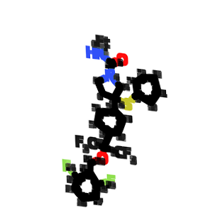 CCNC(=O)N1CCC(Sc2ccccc2)(c2ccc(C(OCc3c(F)cccc3F)(C(F)(F)F)C(F)(F)F)cc2)C1